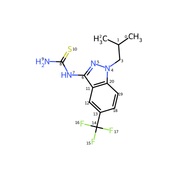 CC(C)Cn1nc(NC(N)=S)c2cc(C(F)(F)F)ccc21